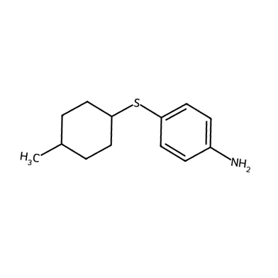 CC1CCC(Sc2ccc(N)cc2)CC1